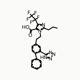 CCCc1nc(C(F)(F)C(F)(F)F)c(C(=O)O)n1CCc1ccc(-c2ccccc2)c(-c2nnn[nH]2)c1